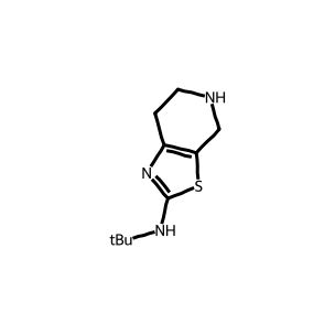 CC(C)(C)Nc1nc2c(s1)CNCC2